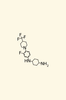 NC1CCC(Nc2ccc(N3CCC(C(F)(F)F)CC3)c(F)c2)CC1